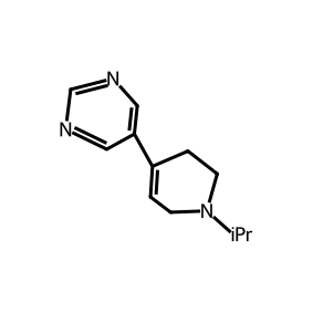 CC(C)N1CC=C(c2cncnc2)CC1